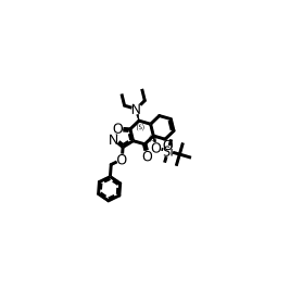 CCN(CC)[C@@H]1c2onc(OCc3ccccc3)c2C(=O)[C@@]2(O[Si](C)(C)C(C)(C)C)C(=O)C=CCC12